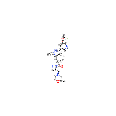 CC(CN1CCO[C@H](C)C1)NC(=O)[C@@H]1CCc2c(-c3cncc(OC(F)F)c3)nn(C(C)C)c2C1